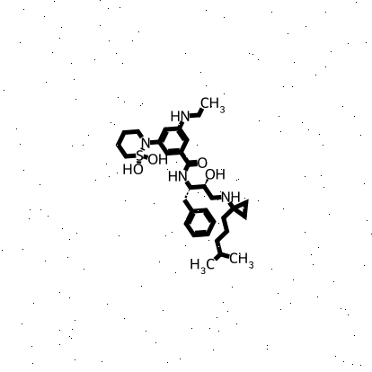 CCNc1cc(C(=O)N[C@@H](Cc2ccccc2)[C@H](O)CNC2(CCCC(C)C)CC2)cc(N2CCCCS2(O)O)c1